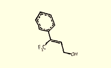 OCC=C(c1ccccc1)C(F)(F)F